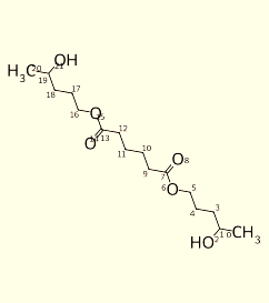 CC(O)CCCOC(=O)CCCCC(=O)OCCCC(C)O